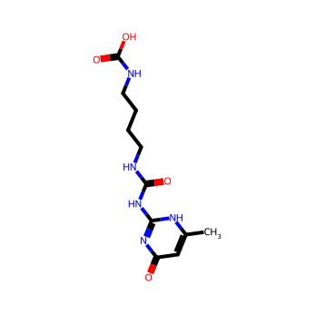 Cc1cc(=O)nc(NC(=O)NCCCCNC(=O)O)[nH]1